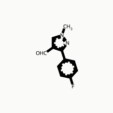 Cn1cc(C=O)c(-c2ccc(F)cc2)n1